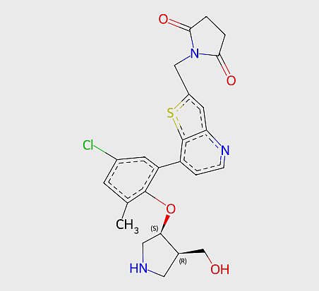 Cc1cc(Cl)cc(-c2ccnc3cc(CN4C(=O)CCC4=O)sc23)c1O[C@@H]1CNC[C@@H]1CO